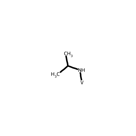 CC(C)[NH][V]